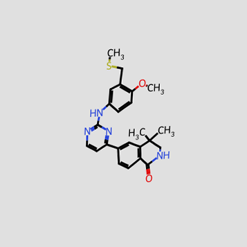 COc1ccc(Nc2nccc(-c3ccc4c(c3)C(C)(C)CNC4=O)n2)cc1CSC